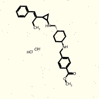 CC/C(=C\c1ccccc1)C1CC1NC[C@H]1CC[C@H](NCc2ccc(C(=O)OC)cc2)CC1.Cl.Cl